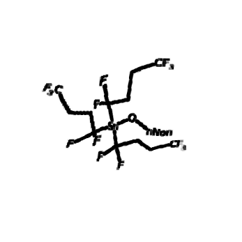 CCCCCCCCC[O][Sn]([C](F)(F)CCC(F)(F)F)([C](F)(F)CCC(F)(F)F)[C](F)(F)CCC(F)(F)F